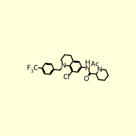 CC(=O)N1CCCCC1C(=O)Nc1cc(Cl)c2c(c1)CCCN2Cc1ccc(C(F)(F)F)cc1